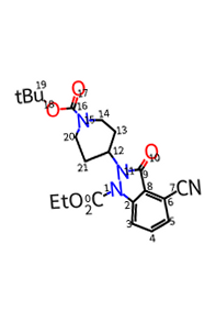 CCOC(=O)n1c2cccc(C#N)c2c(=O)n1C1CCN(C(=O)OC(C)(C)C)CC1